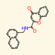 O=C(NCc1cccc2ccccc12)c1cc(=O)c2ccccc2o1